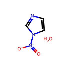 O.O=[N+]([O-])n1ccnc1